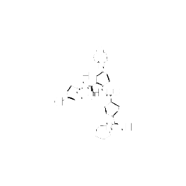 N=C(c1ccc(C(=O)Nc2ccc(N3CCOCC3)cc2C(=O)Nc2ccc(Cl)cn2)cc1)N1CCCCC1